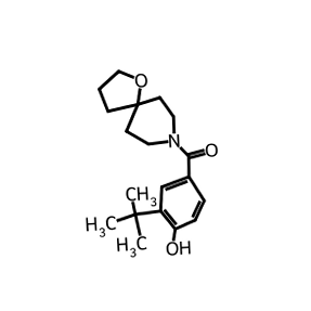 CC(C)(C)c1cc(C(=O)N2CCC3(CCCO3)CC2)ccc1O